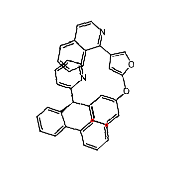 c1ccc(-c2ccccc2[C@H](c2cccc(Oc3cc(-c4nccc5ccccc45)co3)c2)c2ccccn2)cc1